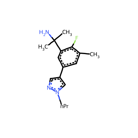 CCCn1cc(-c2cc(C)c(F)c(C(C)(C)N)c2)cn1